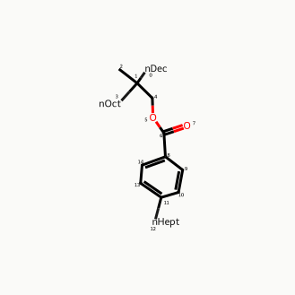 CCCCCCCCCCC(C)(CCCCCCCC)COC(=O)c1ccc(CCCCCCC)cc1